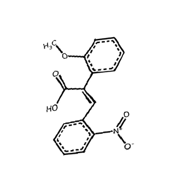 COc1ccccc1/C(=C/c1ccccc1[N+](=O)[O-])C(=O)O